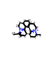 Cc1cccc2[n+]1CCc1ccc3c(c1-2)-c1cccc(C)[n+]1CC3